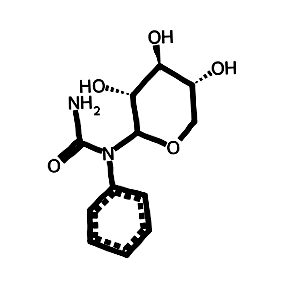 NC(=O)N(c1ccccc1)C1OC[C@@H](O)[C@H](O)[C@H]1O